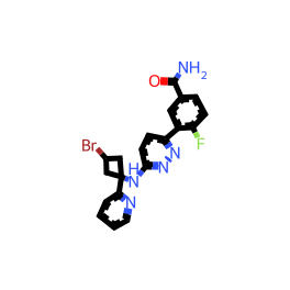 NC(=O)c1ccc(F)c(-c2ccc(NC3(c4ccccn4)CC(Br)C3)nn2)c1